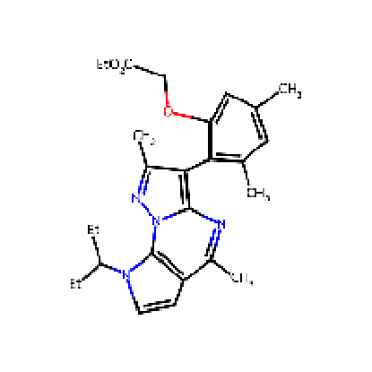 CCOC(=O)COc1cc(C)cc(C)c1-c1c(C)nn2c1nc(C)c1ccn(C(CC)CC)c12